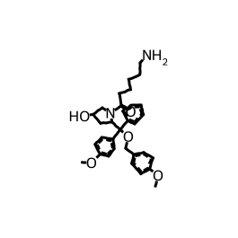 COc1ccc(COC(c2ccccc2)(c2ccc(OC)cc2)C2CC(O)CN2C(=O)CCCCCN)cc1